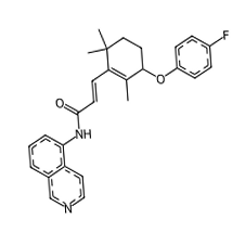 CC1=C(C=CC(=O)Nc2cccc3cnccc23)C(C)(C)CCC1Oc1ccc(F)cc1